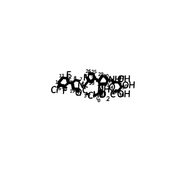 C[C@@H]1CCC[C@H](N2CCC(c3c(F)ccc(Cl)c3F)=CC2=O)c2cc(ccn2)-c2ccc(NC3O[C@H](C(=O)O)[C@@H](O)[C@H](O)[C@H]3O)cc2NC1=O